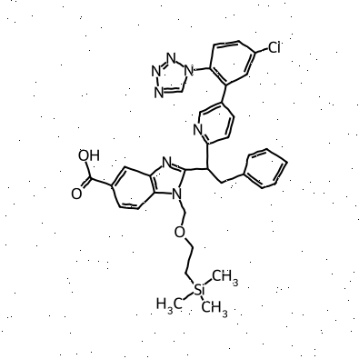 C[Si](C)(C)CCOCn1c(C(Cc2ccccc2)c2ccc(-c3cc(Cl)ccc3-n3cnnn3)cn2)nc2cc(C(=O)O)ccc21